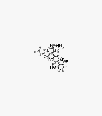 C[C@@H]1CN2c3c4c(nc5c(F)c(-c6c(O)cccc6C(F)F)c(Cl)cc35)O[C@H](CN(C)C)CN4C[C@H]2CN1